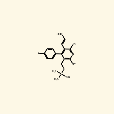 CC(C)c1nc(C(C)C)c(CO[Si](C)(C)C(C)(C)C)c(-c2ccc(F)cc2)c1/C=C/C=O